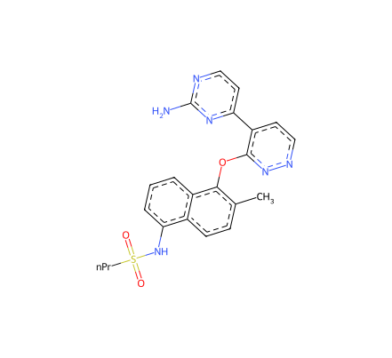 CCCS(=O)(=O)Nc1cccc2c(Oc3nnccc3-c3ccnc(N)n3)c(C)ccc12